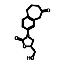 O=C1CCCc2ccc(N3CC(CO)OC3=O)cc2C1